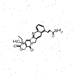 CC[C@@]1(O)C(=O)OCc2c1cc1n(c2=O)Cc2cc3c(C=CC(N)=O)cccc3nc2-1